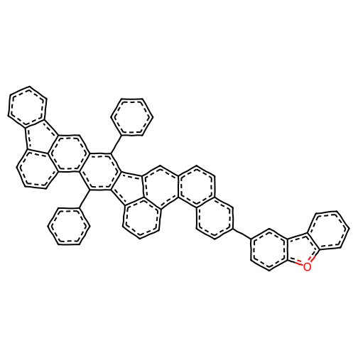 c1ccc(-c2c3cc4c5ccccc5c5cccc(c3c(-c3ccccc3)c3c6cccc7c8c(ccc9cc(-c%10ccc%11oc%12ccccc%12c%11c%10)ccc98)cc(c23)c67)c54)cc1